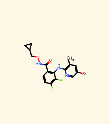 Cc1cc(Br)cnc1Nc1c(C(=O)NOCC2CC2)ccc(F)c1F